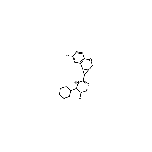 O=C(N[C@@H](C(F)F)C1CCCCC1)C1C2COc3ccc(F)cc3C21